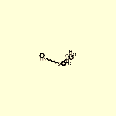 O=C1CCC(N2Cc3cc(SCCCCCCCNC4CCCCC4)ccc3C2=O)C(=O)N1